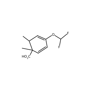 CC1C=C(OC(F)F)C=CC1(C)C(=O)O